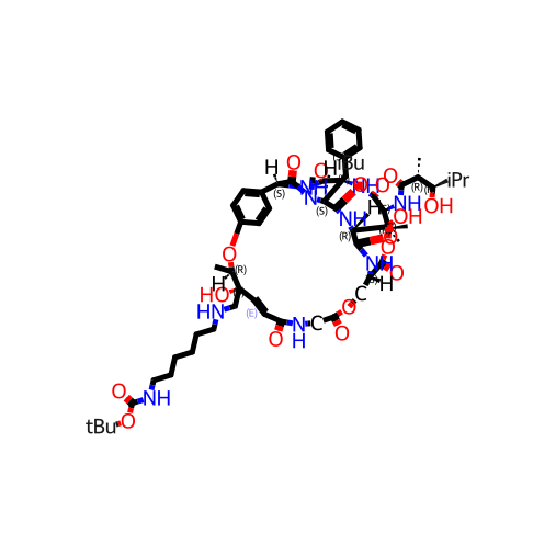 CC[C@H](C)[C@H]1NC(=O)[C@@H](NC(=O)[C@H](C)[C@H](O)C(C)C)[C@@H](C)OC(=O)[C@@H]2COC(=O)CNC(=O)/C=C/[C@](O)(CNCCCCCCNC(=O)OC(C)(C)C)[C@@H](C)Oc3ccc(cc3)[C@H](NC1=O)C(=O)N(C)[C@@H](Cc1ccccc1)C(=O)N[C@H]([C@@H](C)O)C(=O)N2